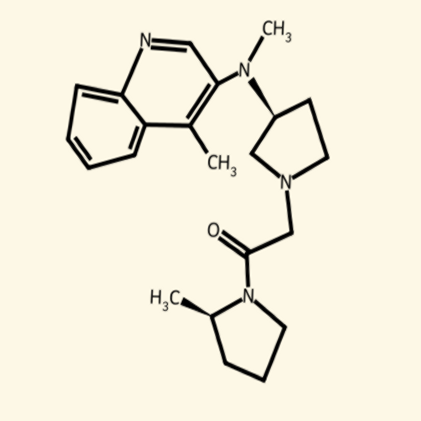 Cc1c(N(C)[C@H]2CCN(CC(=O)N3CCC[C@H]3C)C2)cnc2ccccc12